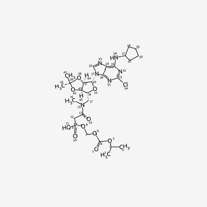 CC(C)OC(=O)OCOP(=O)(O)CC(=O)N(C)C[C@H]1O[C@@H](n2cnc3c(NC4CCCC4)nc(Cl)nc32)[C@@H]2OC(C)(C)O[C@@H]21